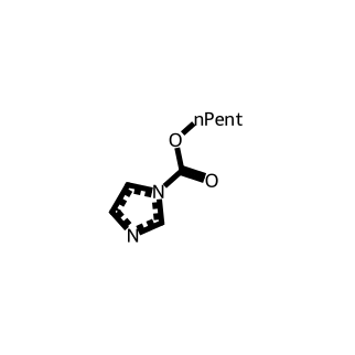 CCCCCOC(=O)n1ccnc1